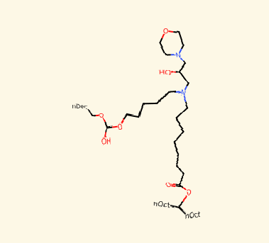 CCCCCCCCCCCO[C@H](O)OCCCCCN(CCCCCCCC(=O)OC(CCCCCCCC)CCCCCCCC)CC(O)CN1CCOCC1